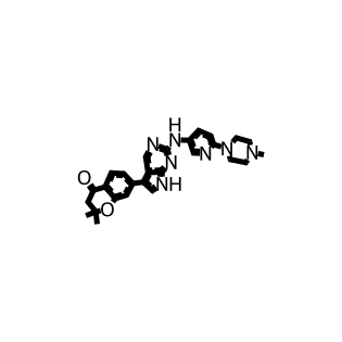 CN1CCN(c2ccc(Nc3ncc4c(-c5ccc6c(c5)OC(C)(C)CC6=O)c[nH]c4n3)cn2)CC1